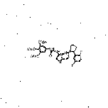 COc1cc(NC(=O)Nc2cnc3ccc(N4CCCC4c4cc(F)ccc4F)nn23)cc(OC)c1OC